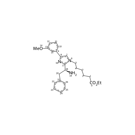 CCOC(=O)CCCCCn1cc(-c2cccc(OC)c2)nc1[C@@H](N)Cc1ccccc1